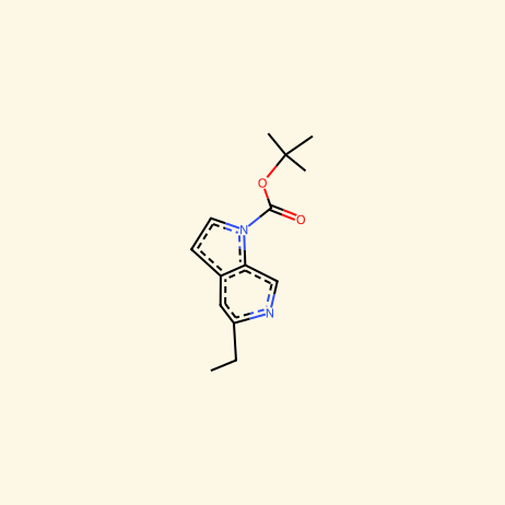 CCc1cc2ccn(C(=O)OC(C)(C)C)c2cn1